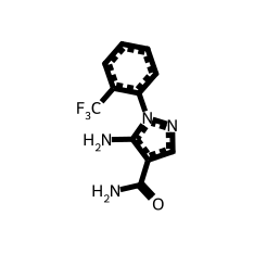 NC(=O)c1cnn(-c2ccccc2C(F)(F)F)c1N